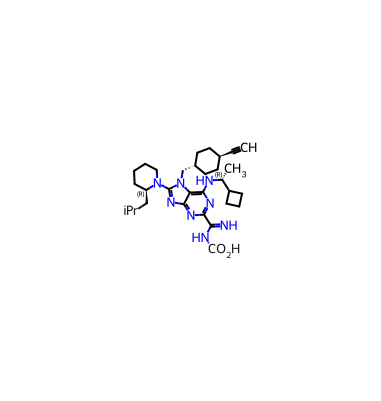 C#C[C@H]1CC[C@H](Cn2c(N3CCCC[C@@H]3CC(C)C)nc3nc(C(=N)NC(=O)O)nc(N[C@H](C)C4CCC4)c32)CC1